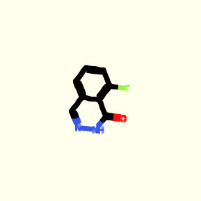 O=c1[nH]ncc2cccc(F)c12